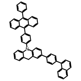 c1ccc(-c2c3ccccc3c(-c3ccc(N4c5ccccc5Cc5cc(-c6ccc(-c7cccc8ccccc78)cc6)ccc54)cc3)c3ccccc23)cc1